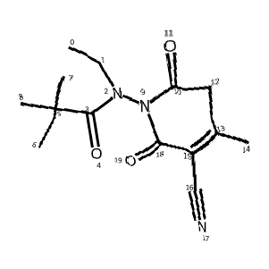 CCN(C(=O)C(C)(C)C)N1C(=O)CC(C)=C(C#N)C1=O